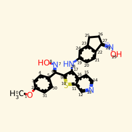 COc1ccc(C(=NO)c2sc3cnccc3c2Nc2ccc3c(c2)CC/C3=N/O)cc1